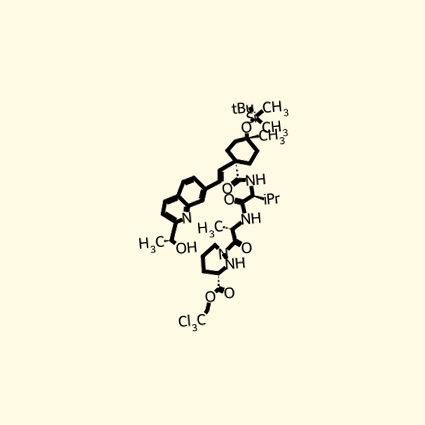 CC(C)[C@H](NC(=O)[C@]1(/C=C/c2ccc3ccc([C@@H](C)O)nc3c2)CC[C@](C)(O[Si](C)(C)C(C)(C)C)CC1)C(=O)N[C@@H](C)C(=O)N1CCC[C@@H](C(=O)OCC(Cl)(Cl)Cl)N1